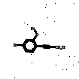 CCOC(=O)C#Cc1ccc(Br)cc1OCC